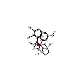 COc1cccc(C(=O)N2[C@@H]3CC[C@H]2c2nn(C)c(-c4cccc(F)c4F)c2C3)c1